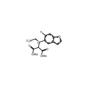 COC(=O)C(C(=O)OC)[C@@H](C[N+](=O)[O-])c1cc2ccoc2cc1F